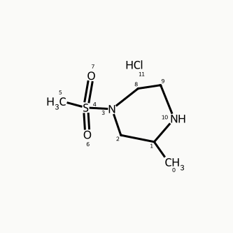 CC1CN(S(C)(=O)=O)CCN1.Cl